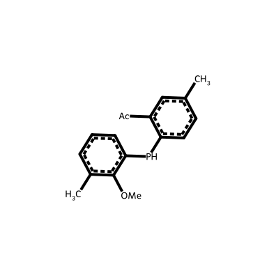 COc1c(C)cccc1Pc1ccc(C)cc1C(C)=O